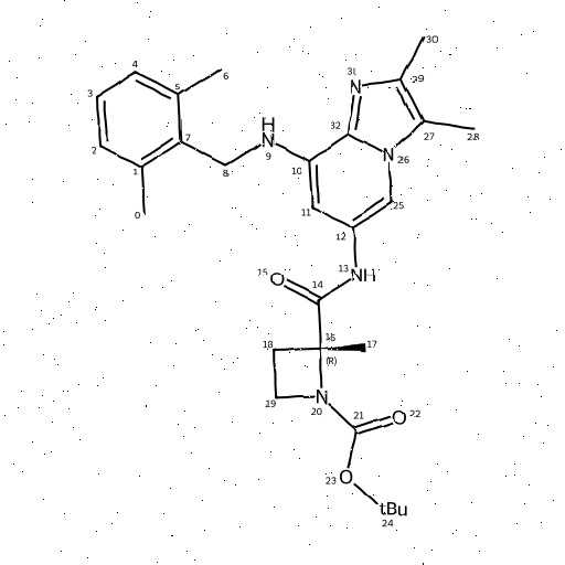 Cc1cccc(C)c1CNc1cc(NC(=O)[C@@]2(C)CCN2C(=O)OC(C)(C)C)cn2c(C)c(C)nc12